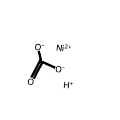 O=C([O-])[O-].[H+].[Ni+2]